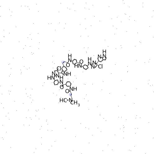 C#CN(C)C/C=C/C(=O)Nc1cccc(C(=O)Nc2cccc(Nc3ncc(Cl)c(-c4c[nH]c5ccc(/C=C\C(=O)Nc6ccc(C(=O)Nc7cccc(Nc8ncc(Cl)c(-c9cnc%10[nH]ccc%10c9)n8)c7)cc6)cc45)n3)c2)c1